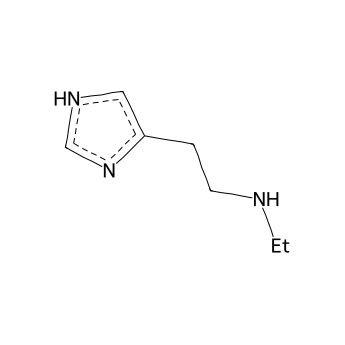 CCNCCc1c[nH]cn1